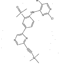 C[Si](C)(C)C#Cc1cncc(-c2ccc(Nc3nc(Cl)ncc3Br)c(P(C)(C)=O)c2)n1